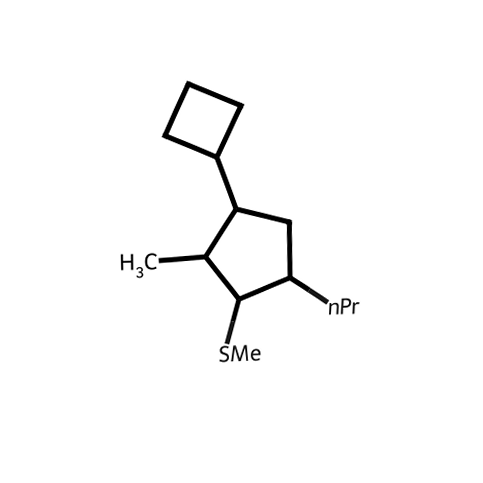 CCCC1CC(C2CCC2)C(C)C1SC